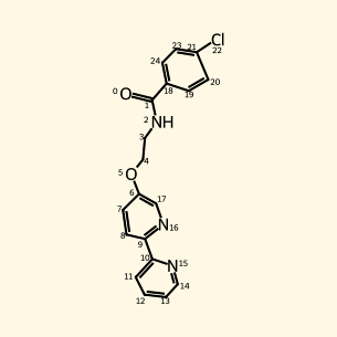 O=C(NCCOc1ccc(-c2ccccn2)nc1)c1ccc(Cl)cc1